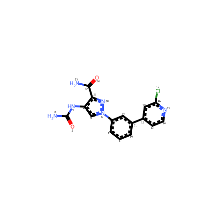 NC(=O)Nc1cn(-c2cccc(-c3ccnc(Cl)c3)c2)nc1C(N)=O